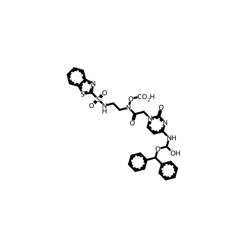 O=C(O)ON(CCNS(=O)(=O)c1nc2ccccc2s1)C(=O)Cn1ccc(NC(O)OC(c2ccccc2)c2ccccc2)nc1=O